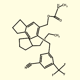 CC[N+](Cc1cc(C#N)cc(C(F)(F)F)c1)(CC1CCCC1)c1cc2c(cc1COC(=O)NC)CCC2